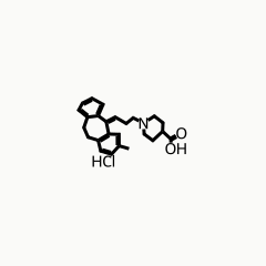 Cc1ccc2c(c1)C(=CCCN1CCC(C(=O)O)CC1)c1ccccc1CC2.Cl